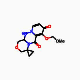 COCOc1c2n(ccc1=O)NC1COCC3(CC3)N1C2=O